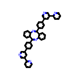 c1ccc(-c2cncc(-c3ccc(/C4=N/c5ccccc5/C(c5ccc(-c6cncc(-c7ccccn7)c6)cc5)=N\c5ccccc54)cc3)c2)nc1